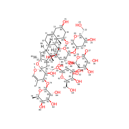 CC1=CO[C@@]2(O[C@H]3C[C@H]4[C@@H]5CC=C6C[C@@H](O)C[C@@H](O[C@@H]7O[C@H](CO)[C@@H](O)[C@H](O[C@@H]8OC[C@@H](O)[C@H](O)[C@H]8O)[C@H]7O[C@@H]7O[C@@H](C)[C@H](O)[C@@H](O)[C@H]7O)[C@]6(C)[C@H]5CC[C@]4(C)[C@H]3[C@@H]2CO[C@@H]2O[C@H](CO)[C@H](O)[C@H](O)[C@H]2O)[C@@H](O)[C@H]1O[C@@H]1O[C@H](C)[C@H](O)[C@H](O)[C@H]1O